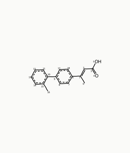 CC(=CC(=O)O)c1ccc(-c2ccccc2C)cc1